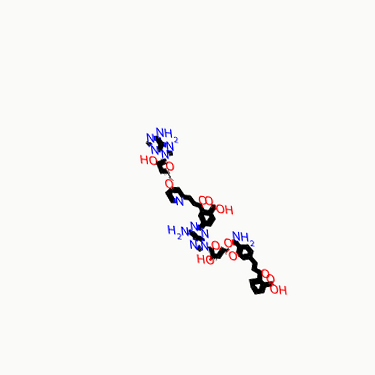 NC(=O)c1ccc(CCC(=O)c2ccccc2C(=O)O)cc1OC[C@@H]1C[C@@H](O)[C@H](n2cnc3c(N)nc(-c4ccc(C(=O)O)c(C(=O)CCc5cc(OC[C@@H]6C[C@@H](O)[C@H](n7cnc8c(N)ncnc87)O6)ccn5)c4)nc32)O1